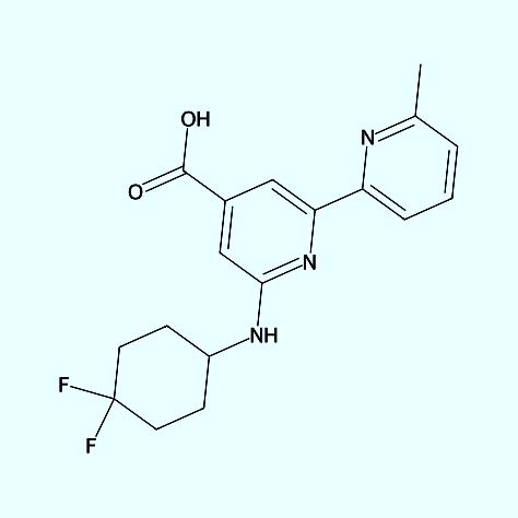 Cc1cccc(-c2cc(C(=O)O)cc(NC3CCC(F)(F)CC3)n2)n1